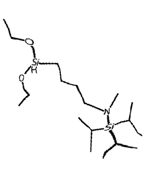 CCO[SiH](CCCCN(C)[Si](C(C)C)(C(C)C)C(C)C)OCC